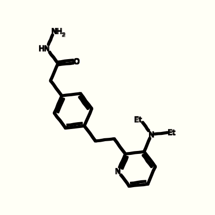 CCN(CC)c1cccnc1CCc1ccc(CC(=O)NN)cc1